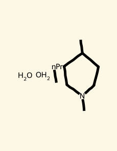 CC1CCN(C)CC1.CCCC.O.O